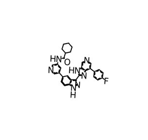 O=C(Nc1cncc(C2=C=C=c3[nH]nc(-c4nc5c(-c6ccc(F)cc6)cncc5[nH]4)c3=C2)c1)C1CCCCC1